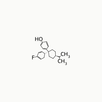 CC(C)[C@H]1CC[C@](c2ccc(O)cc2)(C2C=CC(F)=CC2)CC1